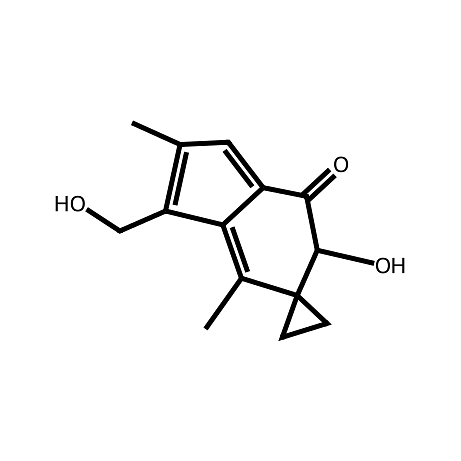 CC1=C(CO)C2=C(C)C3(CC3)C(O)C(=O)C2=C1